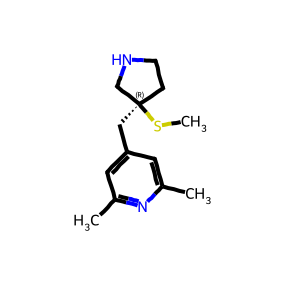 CS[C@]1(Cc2cc(C)nc(C)c2)CCNC1